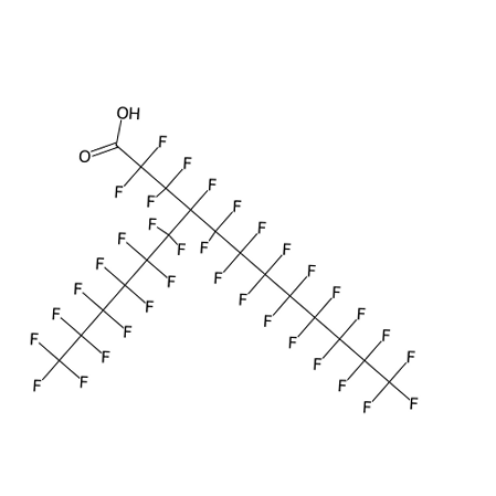 O=C(O)C(F)(F)C(F)(F)C(F)(C(F)(F)C(F)(F)C(F)(F)C(F)(F)C(F)(F)C(F)(F)F)C(F)(F)C(F)(F)C(F)(F)C(F)(F)C(F)(F)C(F)(F)C(F)(F)C(F)(F)F